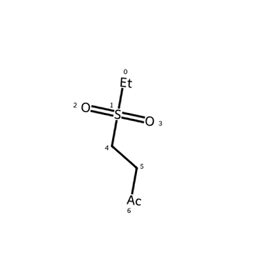 CCS(=O)(=O)CCC(C)=O